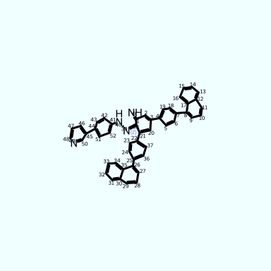 N=C1C=C(c2ccc(-c3cccc4ccccc34)cc2)C=C(c2ccc(-c3cccc4ccccc34)cc2)/C1=N/Nc1ccc(-c2cccnc2)cc1